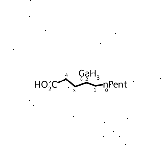 CCCCCCCCCC(=O)O.[GaH3]